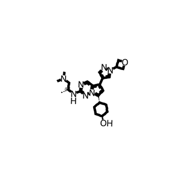 C[C@H](CN(C)C)Nc1ncc2c(-c3cnn(C4COC4)c3)cc([C@H]3CC[C@H](O)CC3)n2n1